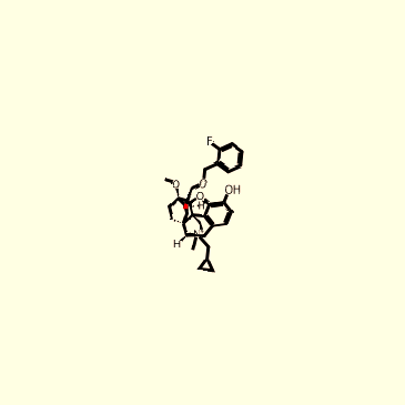 CO[C@]12CC[C@@]3(C[C@@H]1COCc1ccccc1F)[C@H]1Cc4ccc(O)c5c4[C@@]3(CC[N+]1(C)CC1CC1)[C@H]2O5